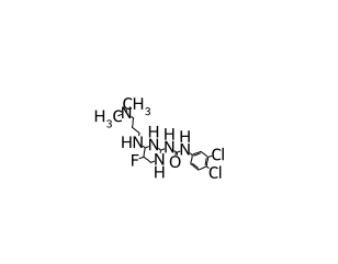 CN(C)CCCNC1NC(NC(=O)Nc2ccc(Cl)c(Cl)c2)NCC1F